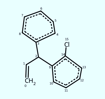 C=CC(c1ccccc1)c1ccccc1Cl